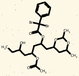 CCC(O)CC(CC(CC1CC(C)OC(C)O1)OC(=O)C(Br)(Br)c1ccccc1)OC(C)=O